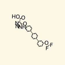 O=C(O)c1nn[nH]c1Oc1ccc(-c2ccc(-c3cccc(OC(F)F)c3)cc2)cc1